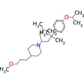 COCCCC1CCN(C(C=C(C)C)CC(C)(C)c2ccc(OC(C)C)cc2)CC1